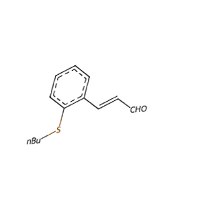 CCCCSc1ccccc1C=CC=O